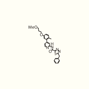 COCCCOc1ccc(C)c(-c2ccnc(NC(=O)c3nnc(Cc4ccccc4)s3)c2)c1